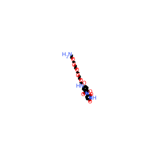 NCCOCCOCCOCCOCCOCC(=O)Nc1ccc2c(c1)C(=O)N(C1CCC(=O)NC1=O)C2=O